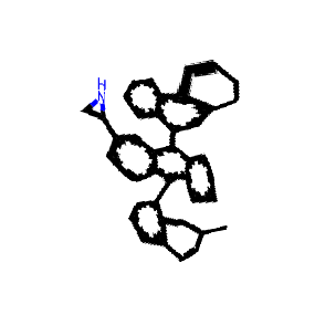 CC1C=Cc2cccc(-c3c4ccccc4c(-c4cc5c(c6ccccc46)C=CCC5)c4cc(C5CN5)ccc34)c2C1